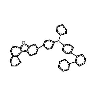 c1ccc(-c2ccccc2-c2ccc(N(c3ccccc3)c3ccc(-c4ccc5c(c4)oc4ccc6ccccc6c45)cc3)cc2)cc1